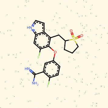 N=C(N)c1cc(Oc2c(F)cc3[nH]ccc3c2CC2CCCS2(=O)=O)ccc1F